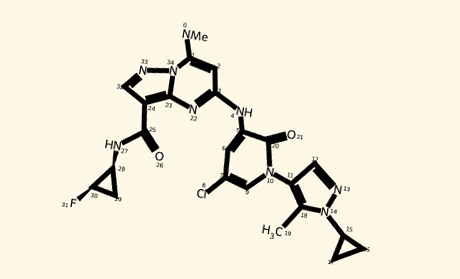 CNc1cc(Nc2cc(Cl)cn(-c3cnn(C4CC4)c3C)c2=O)nc2c(C(=O)N[C@H]3C[C@H]3F)cnn12